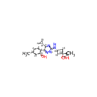 Cc1ccc(-c2nnc(N[C@H]3C[C@@](C)(O)C3)nc2C2CC2)c(O)c1